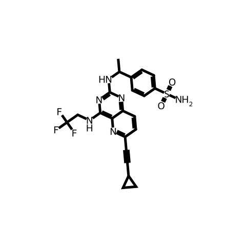 CC(Nc1nc(NCC(F)(F)F)c2nc(C#CC3CC3)ccc2n1)c1ccc(S(N)(=O)=O)cc1